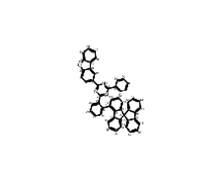 c1ccc(-c2nc(-c3ccc4oc5ccccc5c4c3)nc(-c3ccccc3-c3cccc4c3-c3ccccc3C43c4ccccc4-c4ccccc43)n2)cc1